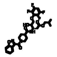 CC(C)COC(=O)C[C@H](NC(=O)C1CCN(C(=O)c2noc3ccccc23)CC1)C(O)COc1c(F)c(F)cc(F)c1F